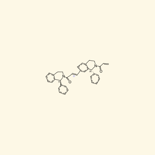 C=CC(=O)N1CCc2ccc(/C=C/C(=O)N3CCc4ccccc4[C@@H]3c3ccccc3)cc2[C@H]1c1ccccc1